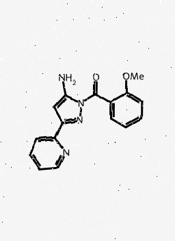 COc1ccccc1C(=O)n1nc(-c2ccccn2)cc1N